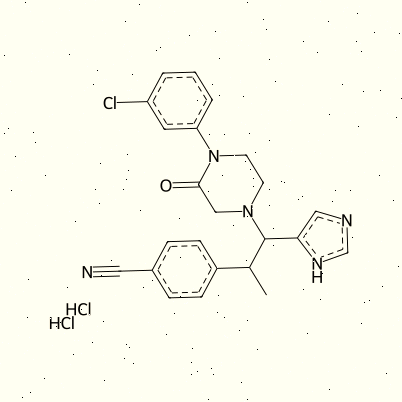 CC(c1ccc(C#N)cc1)C(c1cnc[nH]1)N1CCN(c2cccc(Cl)c2)C(=O)C1.Cl.Cl